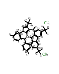 CCC1=[C]([Zr+2](=[C](c2ccc(C)cc2)c2ccc(C)cc2)[CH]2c3ccc(C(C)(C)C)cc3-c3cc(C(C)(C)C)ccc32)C(CC)C=C1C(C)(C)C.[Cl-].[Cl-]